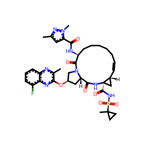 Cc1cc(C(=O)N[C@H]2CCCCC/C=C\[C@@H]3C[C@@]3(C(=O)NS(=O)(=O)C3(C)CC3)NC(=O)[C@@H]3C[C@@H](Oc4nc5c(F)cccc5nc4C)CN3C2=O)n(C)n1